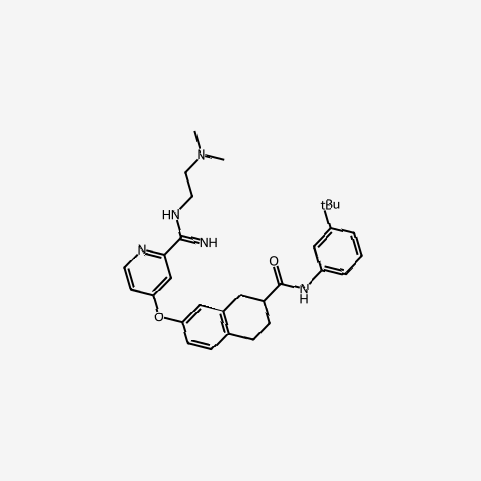 CN(C)CCNC(=N)c1cc(Oc2ccc3c(c2)CC(C(=O)Nc2cccc(C(C)(C)C)c2)CC3)ccn1